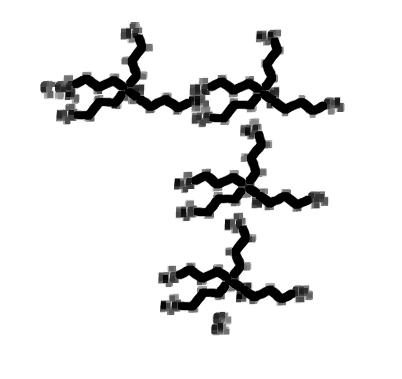 CCCC[IH][N+](CCCC)(CCCC)CCCC.CCCC[IH][N+](CCCC)(CCCC)CCCC.CCCC[IH][N+](CCCC)(CCCC)CCCC.CCCC[IH][N+](CCCC)(CCCC)CCCC.[Cl-].[Cl-].[Cl-].[Cl-]